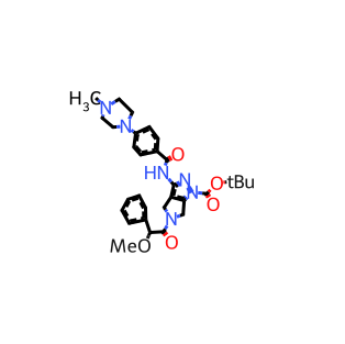 COC(C(=O)N1Cc2c(NC(=O)c3ccc(N4CCN(C)CC4)cc3)nn(C(=O)OC(C)(C)C)c2C1)c1ccccc1